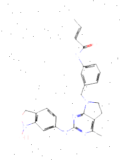 C/C=C/C(=O)Nc1cccc(CN2CCc3c(C)nc(Nc4ccc5c(c4)N(O)OC5)nc32)c1